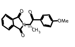 COc1ccc(C(=O)[C@H](C)N2C(=O)c3ccccc3C2=O)cc1